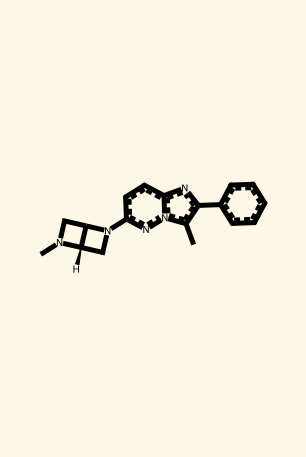 Cc1c(-c2ccccc2)nc2ccc(N3C[C@H]4C3CN4C)nn12